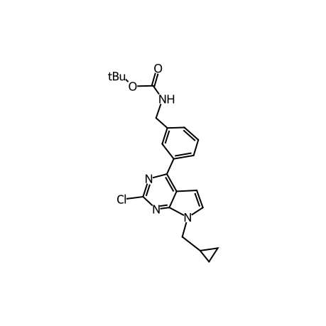 CC(C)(C)OC(=O)NCc1cccc(-c2nc(Cl)nc3c2ccn3CC2CC2)c1